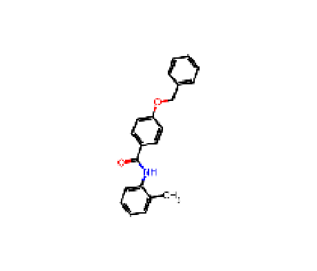 Cc1ccccc1NC(=O)c1ccc(OCc2ccccc2)cc1